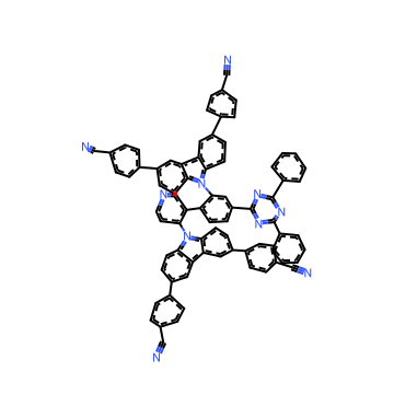 N#Cc1ccc(-c2ccc3c(c2)c2cc(-c4ccc(C#N)cc4)ccc2n3-c2ccncc2-c2ccc(-c3nc(-c4ccccc4)nc(-c4ccccc4)n3)cc2-n2c3ccc(-c4ccc(C#N)cc4)cc3c3cc(-c4ccc(C#N)cc4)ccc32)cc1